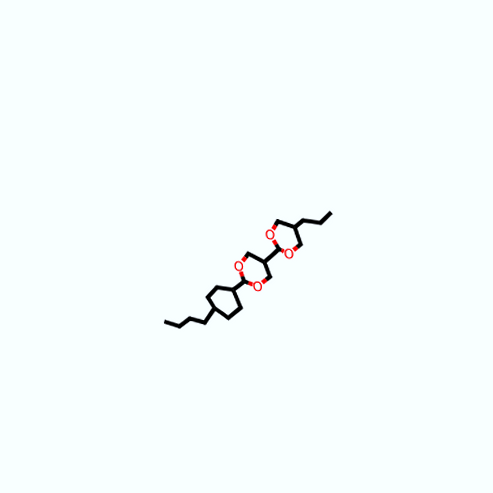 CCCCC1CCC(C2OCC(C3OCC(CCC)CO3)CO2)CC1